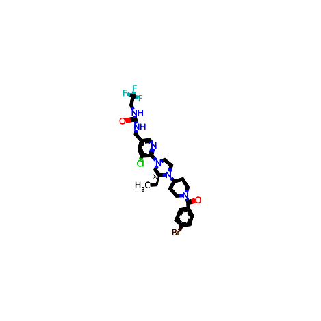 CC[C@H]1CN(c2ncc(CNC(=O)NCC(F)(F)F)cc2Cl)CCN1C1CCN(C(=O)c2ccc(Br)cc2)CC1